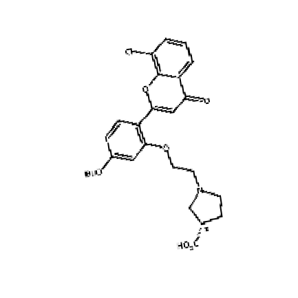 CC(C)COc1ccc(-c2cc(=O)c3cccc(Cl)c3o2)c(OCCN2CC[C@H](C(=O)O)C2)c1